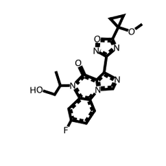 COC1(c2nc(-c3ncn4c3c(=O)n(C(C)CO)c3cc(F)ccc34)no2)CC1